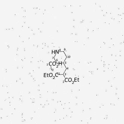 CC(=O)O.CCOC(=O)C(CC1CCNCC1)C(=O)OCC